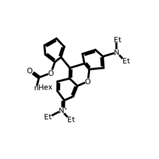 CCCCCCC(=O)Oc1ccccc1-c1c2ccc(=[N+](CC)CC)cc-2oc2cc(N(CC)CC)ccc12